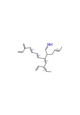 C=CC(=C)/C=C/C=C/C(=C\C(C=C)=C/C)C(C=N)C/C=C/C